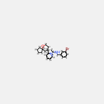 Brc1cccc(CNCC[C@@]2(c3ccccn3)CCOC3(CCCC3)C2)c1